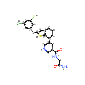 NC(=O)CNC(=O)c1cncc(-c2cccc3cc(Cc4cc(F)cc(Cl)c4)sc23)c1